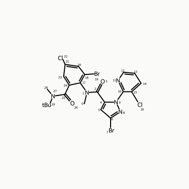 CN(C(=O)c1cc(Br)nn1-c1ncccc1Cl)c1c(Br)cc(Cl)cc1C(=O)N(C)C(C)(C)C